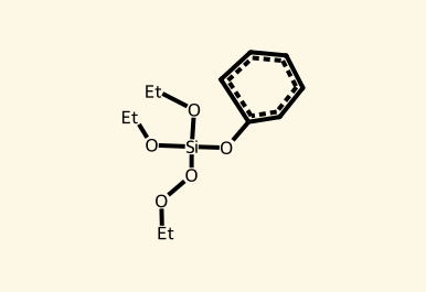 CCOO[Si](OCC)(OCC)Oc1ccccc1